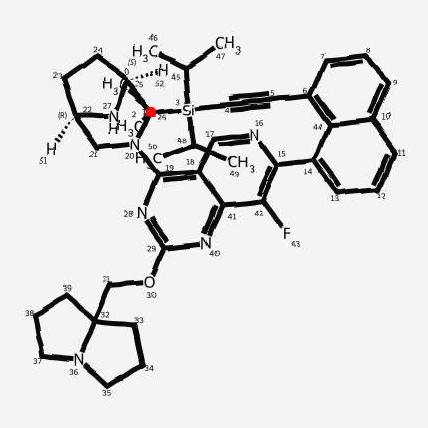 CC(C)[Si](C#Cc1cccc2cccc(-c3ncc4c(N5C[C@H]6CC[C@@H](C5)N6)nc(OCC56CCCN5CCC6)nc4c3F)c12)(C(C)C)C(C)C